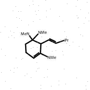 [CH2]C(C)C=CC1C(NC)=CCCC1(NC)NC